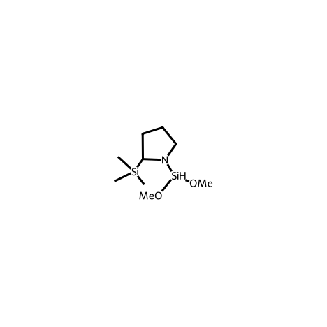 CO[SiH](OC)N1CCCC1[Si](C)(C)C